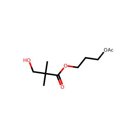 CC(=O)OCCCOC(=O)C(C)(C)CO